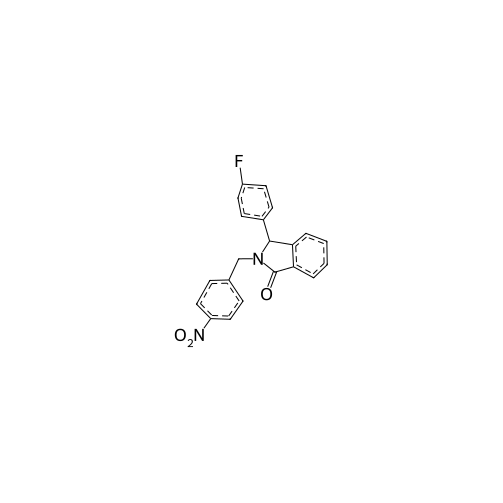 O=C1c2ccccc2C(c2ccc(F)cc2)N1Cc1ccc([N+](=O)[O-])cc1